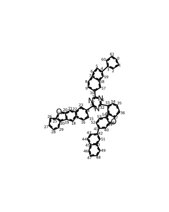 c1ccc(-c2ccc3ccc(-c4nc(-c5ccc6cc7c(cc6c5)oc5ccccc57)nc(-c5cccc6oc7cc(-c8ccc9ccccc9c8)ccc7c56)n4)cc3c2)cc1